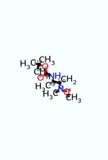 C=C([C@H](C)NC(=O)OC(C)(C)C)N(C)OC